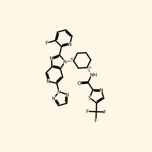 O=C(N[C@H]1CCC[C@@H](n2c(-c3ncccc3F)nc3cnc(-n4nccn4)cc32)C1)c1ncc(C(F)(F)F)s1